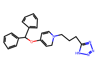 C1=CN(CCCc2nnn[nH]2)CC=C1OC(c1ccccc1)c1ccccc1